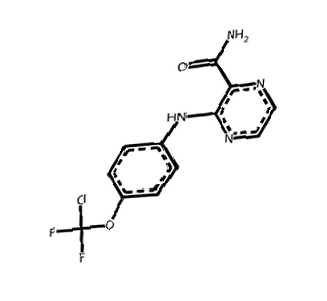 NC(=O)c1nccnc1Nc1ccc(OC(F)(F)Cl)cc1